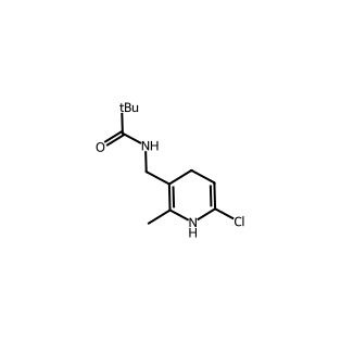 CC1=C(CNC(=O)C(C)(C)C)CC=C(Cl)N1